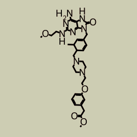 COCCNc1nc(N)c2[nH]c(=O)n(CC3=CC(C)C(CN4CCN(CCOc5cccc(CC(=O)OC)c5)CC4)C=C3)c2n1